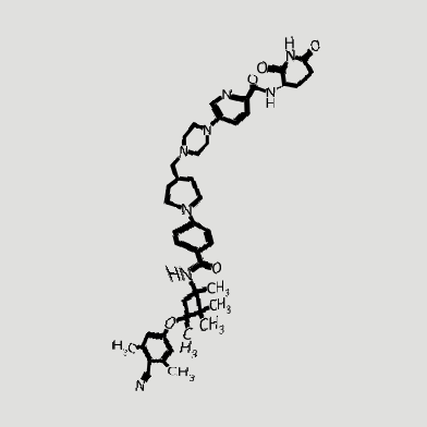 Cc1cc(OC2(C)CC(C)(NC(=O)c3ccc(N4CCC(CN5CCN(c6ccc(C(=O)N[C@H]7CCC(=O)NC7=O)nc6)CC5)CC4)cc3)C2(C)C)cc(C)c1C#N